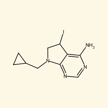 Nc1ncnc2c1C(I)CN2CC1CC1